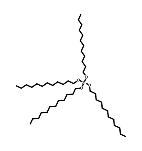 CCCCCCCCCCCC[O][Zr]([O]CCCCCCCCCCCC)([O]CCCCCCCCCCCC)[O]CCCCCCCCCCCC